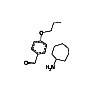 CCCOc1ccc(C=O)cc1.NC1CCCCCC1